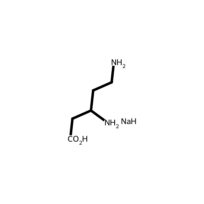 NCCC(N)CC(=O)O.[NaH]